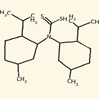 CC1CCC(C(C)C)C(N(C(=S)S)C2CC(C)CCC2C(C)C)C1